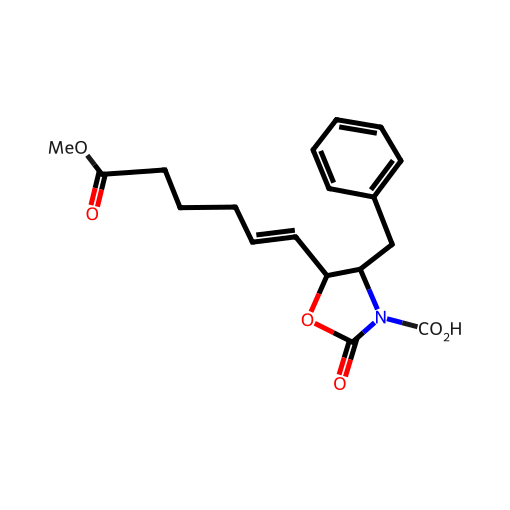 COC(=O)CCCC=CC1OC(=O)N(C(=O)O)C1Cc1ccccc1